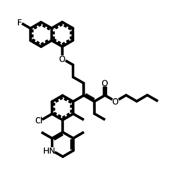 CCCCOC(=O)/C(CC)=C(\CCCOc1cccc2cc(F)ccc12)c1ccc(Cl)c(C2=C(C)NCC=C2C)c1C